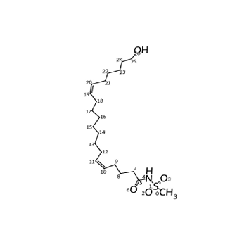 CS(=O)(=O)NC(=O)CCC/C=C\CCCCCCC/C=C\CCCCCO